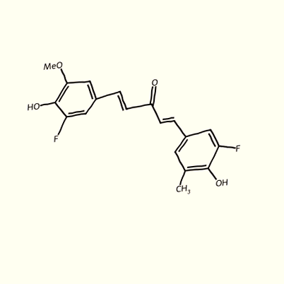 COc1cc(/C=C/C(=O)/C=C/c2cc(C)c(O)c(F)c2)cc(F)c1O